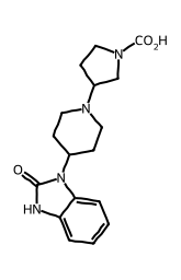 O=C(O)N1CCC(N2CCC(n3c(=O)[nH]c4ccccc43)CC2)C1